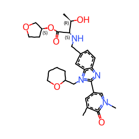 Cc1cc(-c2nc3ccc(CN[C@H](C(=O)O[C@H]4CCOC4)[C@@H](C)O)cc3n2CC2CCCCO2)cn(C)c1=O